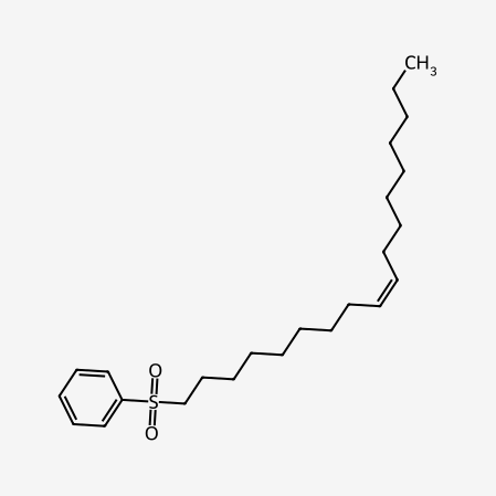 CCCCCCCC/C=C\CCCCCCCCS(=O)(=O)c1ccccc1